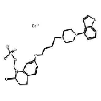 O=C1CCc2ccc(OCCCCN3CCN(c4cccc5sccc45)CC3)cc2N1COP(=O)([O-])[O-].[Ca+2]